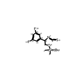 CC(C)(C)[Si](C)(C)OCC(N=C=S)c1cc(F)cc(F)c1